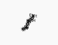 CCN(CC)c1ccc(Nc2ccnc(N3CCC(c4nnc(-c5ccccc5)o4)CC3)n2)c(C)c1